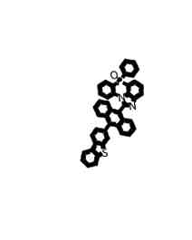 O=P1(c2ccccc2)c2ccccc2-n2c(-c3c4ccccc4c(-c4ccc5c(c4)sc4ccccc45)c4ccccc34)nc3cccc1c32